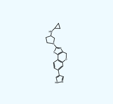 c1cc2c(cc1-c1cn[nH]c1)OCc1nc(N3CCC(NC4CC4)C3)sc1-2